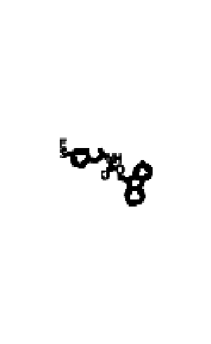 CC(Cc1ccc(SF)cc1)NC(=O)OCC1c2ccccc2-c2ccccc21